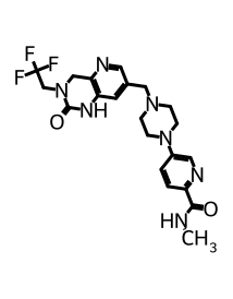 CNC(=O)c1ccc(N2CCN(Cc3cnc4c(c3)NC(=O)N(CC(F)(F)F)C4)CC2)cn1